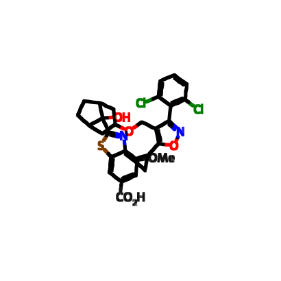 COc1cc(C(=O)O)cc2sc(C3(O)C4CCC3CC(OCc3c(-c5c(Cl)cccc5Cl)noc3C3CC3)C4)nc12